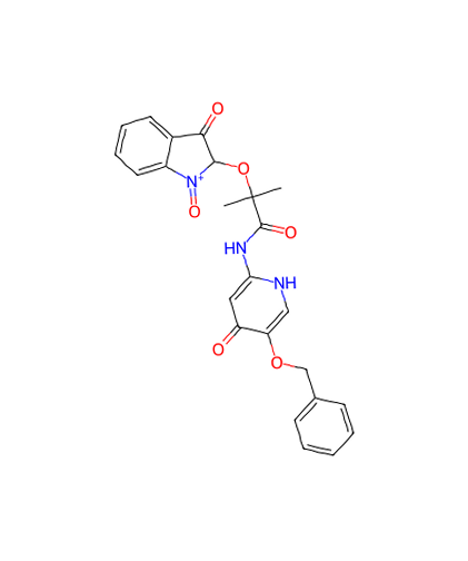 CC(C)(OC1C(=O)c2ccccc2[N+]1=O)C(=O)Nc1cc(=O)c(OCc2ccccc2)c[nH]1